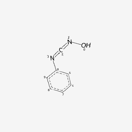 ON=C=Nc1ccccc1